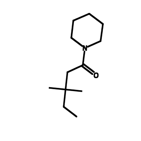 CCC(C)(C)CC(=O)N1CCCCC1